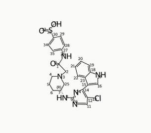 O=C(CN1CCC[C@@H](Nc2ncc(Cl)c(-c3c[nH]c4ccccc34)n2)C1)Nc1ccc(S(=O)O)cc1